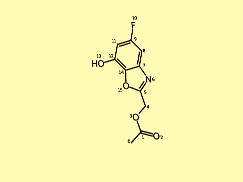 CC(=O)OCc1nc2cc(F)cc(O)c2o1